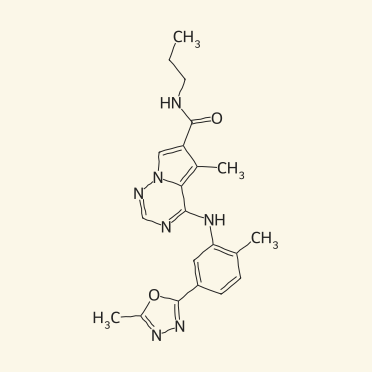 CCCNC(=O)c1cn2ncnc(Nc3cc(-c4nnc(C)o4)ccc3C)c2c1C